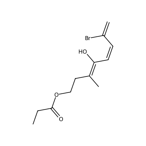 C=C(Br)/C=C\C(O)=C(/C)CCOC(=O)CC